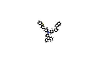 c1ccc(-c2ccccc2-c2cccc(N(c3ccc(-c4cccc(-c5ccc6ccccc6c5)c4)cc3)c3ccc(-c4ccc5c(c4)sc4ccccc45)cc3)c2)cc1